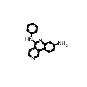 Nc1ccc2c(c1)nc(Nc1ccccc1)c1ccncc12